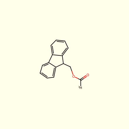 [3H]C(=O)OCC1c2ccccc2-c2ccccc21